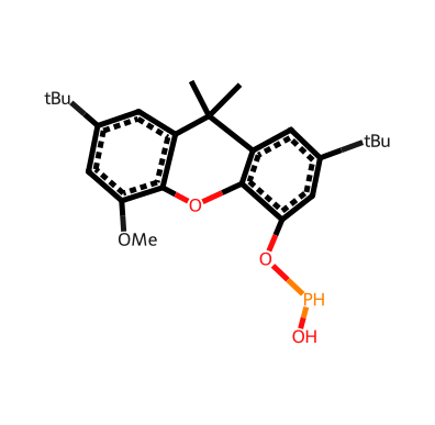 COc1cc(C(C)(C)C)cc2c1Oc1c(OPO)cc(C(C)(C)C)cc1C2(C)C